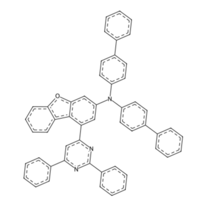 c1ccc(-c2ccc(N(c3ccc(-c4ccccc4)cc3)c3cc(-c4cc(-c5ccccc5)nc(-c5ccccc5)n4)c4c(c3)oc3ccccc34)cc2)cc1